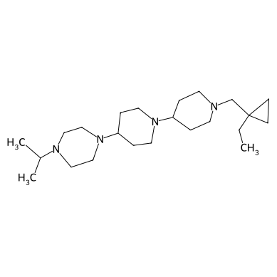 CCC1(CN2CCC(N3CCC(N4CCN(C(C)C)CC4)CC3)CC2)CC1